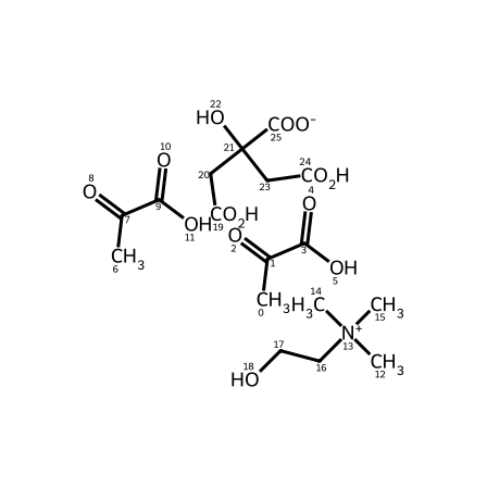 CC(=O)C(=O)O.CC(=O)C(=O)O.C[N+](C)(C)CCO.O=C(O)CC(O)(CC(=O)O)C(=O)[O-]